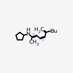 C=C(/C=C\C=C(/C)NC1CCCC1)C(C)CC